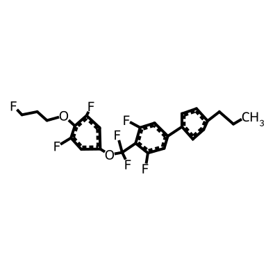 CCCc1ccc(-c2cc(F)c(C(F)(F)Oc3cc(F)c(OCCCF)c(F)c3)c(F)c2)cc1